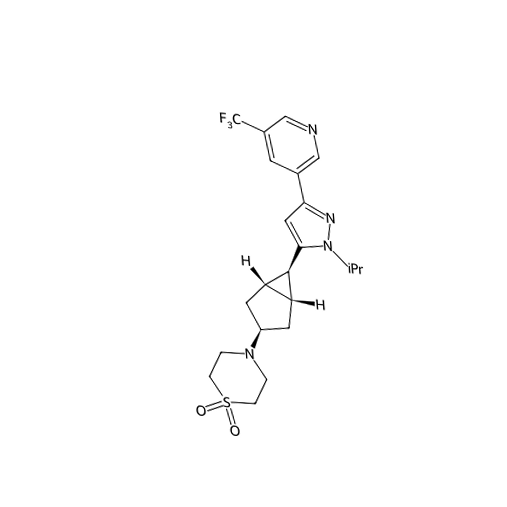 CC(C)n1nc(-c2cncc(C(F)(F)F)c2)cc1[C@H]1[C@@H]2C[C@@H](N3CCS(=O)(=O)CC3)C[C@@H]21